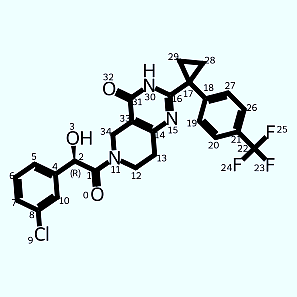 O=C([C@H](O)c1cccc(Cl)c1)N1CCc2nc(C3(c4ccc(C(F)(F)F)cc4)CC3)[nH]c(=O)c2C1